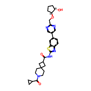 O=C(Nc1nc2ccc(-c3cnc(CO[C@H]4CCC[C@@H]4O)nc3)cc2s1)C1CC2(CCN(C(=O)C3CC3)CC2)C1